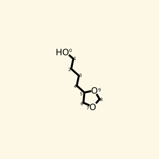 OCCCCC1COCO1